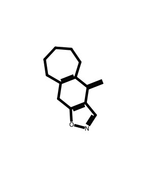 C=C1C2=C(CCCCC2)Cc2oncc21